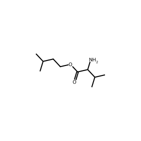 CC(C)CCOC(=O)C(N)C(C)C